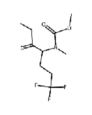 CCC(=O)C(CCC(F)(F)F)N(C)C(=O)OC